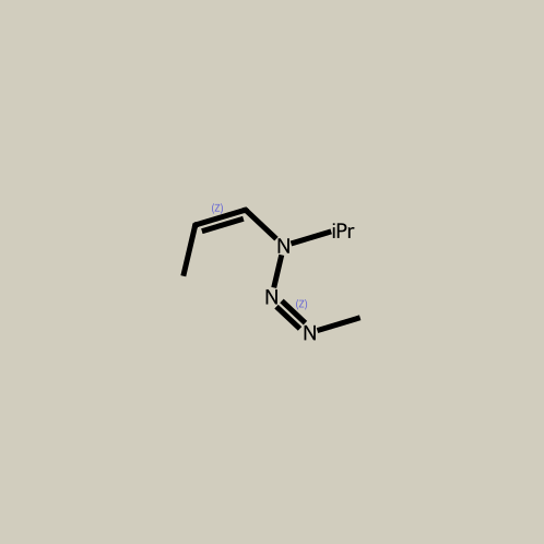 C/C=C\N(/N=N\C)C(C)C